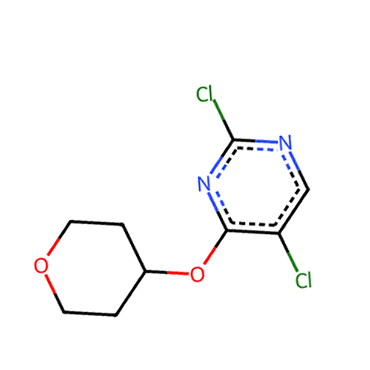 Clc1ncc(Cl)c(OC2CCOCC2)n1